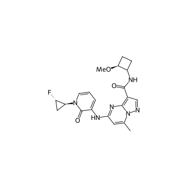 CO[C@H]1CCC1NC(=O)c1cnn2c(C)cc(Nc3cccn([C@H]4C[C@@H]4F)c3=O)nc12